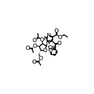 CCOC(=O)c1nnn([C@@]2(O)O[C@H](COC(C)=O)[C@@H](OC(C)=O)[C@H]2OC(C)=O)c1C(=O)c1ccco1